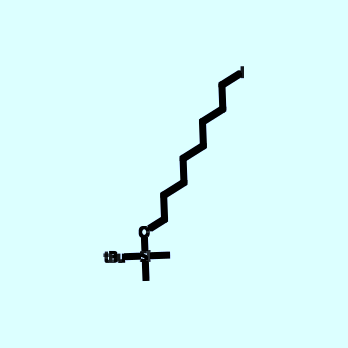 CC(C)(C)[Si](C)(C)OCCCCCCCCI